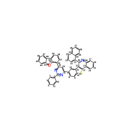 c1ccc(-c2nc(-c3ccc4sc5c6ccccc6nc(-c6cccc7ccccc67)c5c4c3)cc(-c3cccc4c3oc3ccccc34)n2)cc1